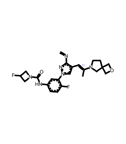 C=Nc1nn(-c2cc(NC(=O)N3CC(F)C3)ccc2F)cc1/C=C(\C)N1CCC2(COC2)C1